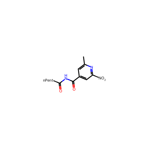 CCCCCC(=O)NC(=O)c1cc(C)nc([N+](=O)[O-])c1